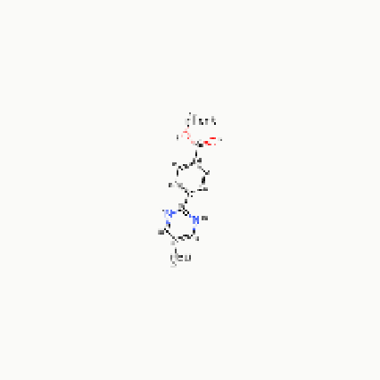 CCCCCOC(=O)c1ccc(-c2ncc(CCCC)cn2)cc1